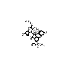 CCCOC(=O)[C@@H](C)[C@@H](c1ccc(Cl)cc1)N1C(=O)c2cc(C(O)(CC)C3CCOCC3)cc(F)c2[C@]1(O)c1ccc(Cl)cc1